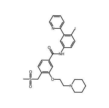 CS(=O)(=O)Cc1ccc(C(=O)Nc2ccc(I)c(-c3ccccn3)c2)cc1OCCN1CCCCC1